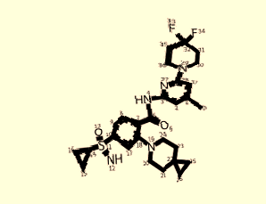 Cc1cc(NC(=O)c2ccc(S(=N)(=O)C3CC3)cc2N2CCC3(CC2)CC3)nc(N2CCC(F)(F)CC2)c1